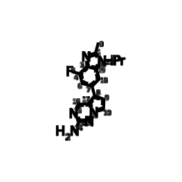 Cc1nc2c(F)cc(-c3ccn4nc(N)ncc34)cc2n1C(C)C